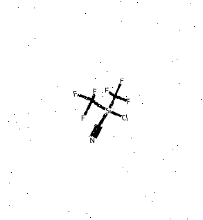 N#C[Si](Cl)(C(F)(F)F)C(F)(F)F